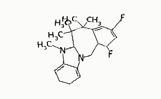 CN1C2=CCCC=C2N2CC3C(=CC(F)=CC3F)C(C)(C)C(C)(C)C12